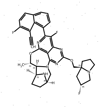 C#Cc1c(F)ccc2cccc(-c3nc4c5c(nc(OC[C@@]67CCCN6C[C@H](F)C7)nc5c3F)N3C[C@H]5CC[C@H](N5)[C@H]3[C@H](C)O4)c12